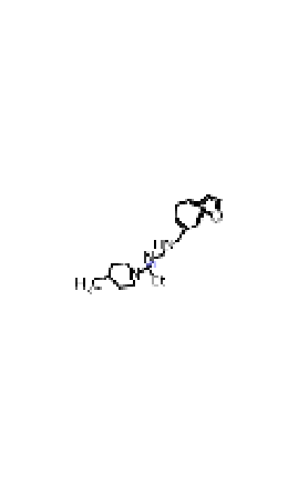 CC/C(=N\CNCC1=CCC=c2ccoc2=C1)N1CCC(C)CC1